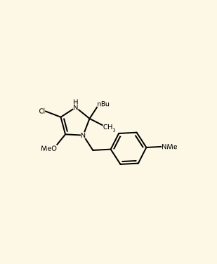 CCCCC1(C)NC(Cl)=C(OC)N1Cc1ccc(NC)cc1